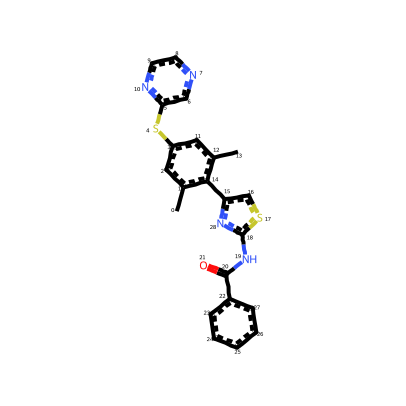 Cc1cc(Sc2cnccn2)cc(C)c1-c1csc(NC(=O)c2ccccc2)n1